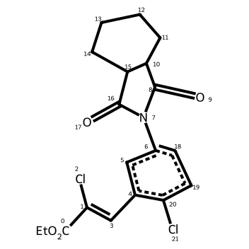 CCOC(=O)C(Cl)=Cc1cc(N2C(=O)C3CCCCC3C2=O)ccc1Cl